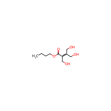 CCCCOC(=O)C(CO)=C(CO)CO